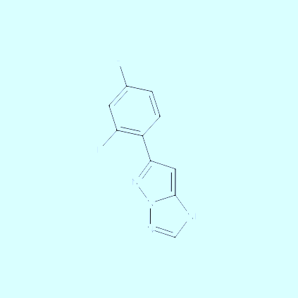 Fc1ccc(-c2cc3[nH][c]nn3n2)c(F)c1